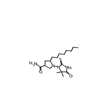 CCCCCCCCC1CC(C(N)=O)CN1N1C(=S)NC(=O)C1(C)C